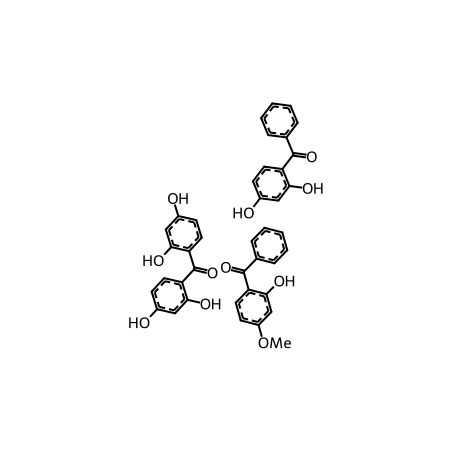 COc1ccc(C(=O)c2ccccc2)c(O)c1.O=C(c1ccc(O)cc1O)c1ccc(O)cc1O.O=C(c1ccccc1)c1ccc(O)cc1O